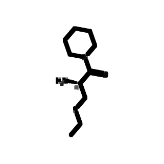 CCSC[C@H](N)C(=O)N1CCCCC1